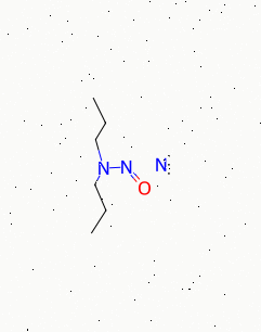 CCCN(CCC)N=O.[N]